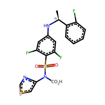 C[C@H](Nc1cc(F)c(S(=O)(=O)N(C(=O)O)c2cscn2)c(F)c1)c1ccccc1F